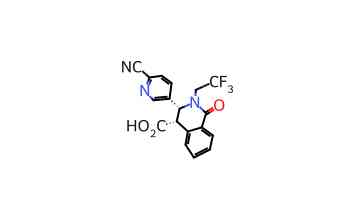 N#Cc1ccc([C@H]2[C@@H](C(=O)O)c3ccccc3C(=O)N2CC(F)(F)F)cn1